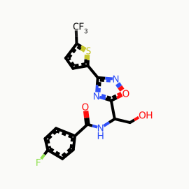 O=C(NC(CO)c1nc(-c2ccc(C(F)(F)F)s2)no1)c1ccc(F)cc1